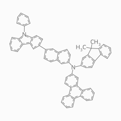 CC1(C)c2ccccc2-c2ccc(N(c3ccc4cc(-c5ccc6c(c5)c5ccccc5n6-c5ccccc5)ccc4c3)c3ccc4c5ccccc5c5ccccc5c4c3)cc21